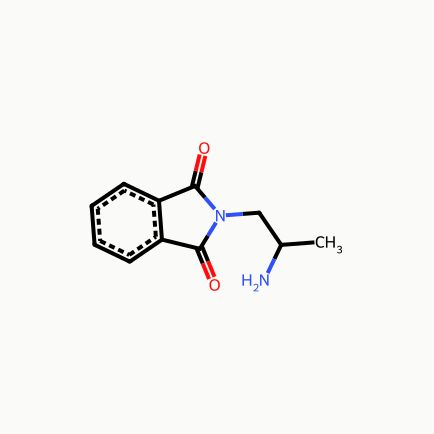 CC(N)CN1C(=O)c2ccccc2C1=O